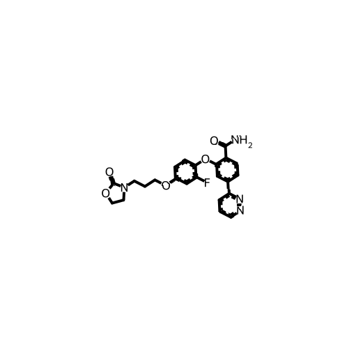 NC(=O)c1ccc(-c2cccnn2)cc1Oc1ccc(OCCCN2CCOC2=O)cc1F